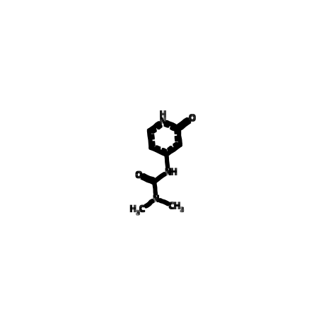 CN(C)C(=O)Nc1cc[nH]c(=O)c1